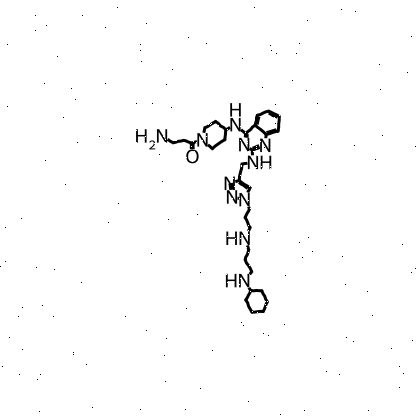 NCCC(=O)N1CCC(Nc2nc(NCc3cn(CCCNCCCNC4CCCCC4)nn3)nc3ccccc23)CC1